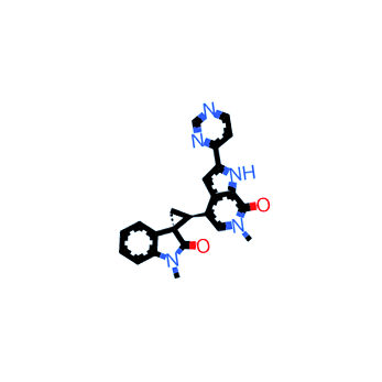 CN1C(=O)[C@@]2(C[C@H]2c2cn(C)c(=O)c3[nH]c(-c4ccncn4)cc23)c2ccccc21